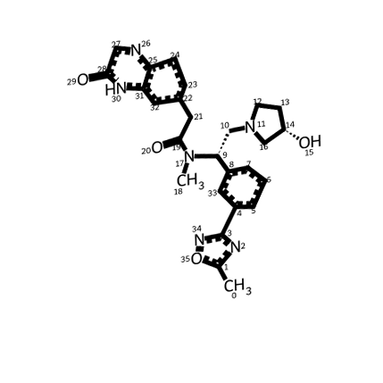 Cc1nc(-c2cccc([C@@H](CN3CC[C@H](O)C3)N(C)C(=O)Cc3ccc4ncc(=O)[nH]c4c3)c2)no1